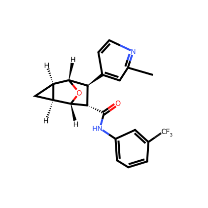 Cc1cc([C@@H]2[C@@H]3O[C@@H]([C@H]4C[C@H]43)[C@H]2C(=O)Nc2cccc(C(F)(F)F)c2)ccn1